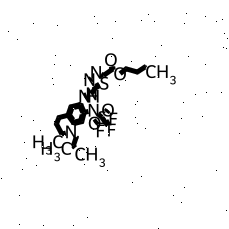 CCCCOC(=O)c1nnc(N=Nc2cc3c(cc2NS(=O)(=O)C(F)(F)F)N(CC(C)C)C(C)CC3)s1